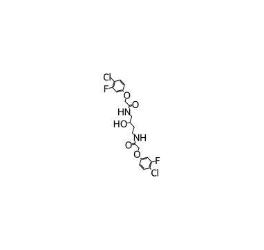 O=C(COc1ccc(Cl)c(F)c1)NCCC(O)CNC(=O)COc1ccc(Cl)c(F)c1